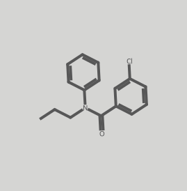 CCCN(C(=O)c1cccc(Cl)c1)c1ccccc1